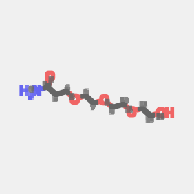 NC(=O)CCOCCOCCOCCO